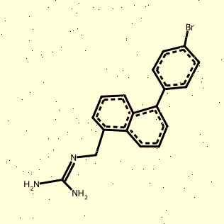 NC(N)=NCc1cccc2c(-c3ccc(Br)cc3)cccc12